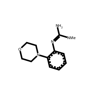 CN/C(N)=N\c1ccccc1N1CCOCC1